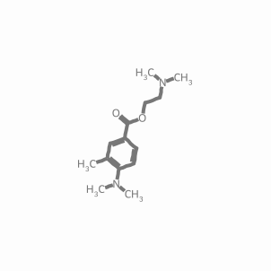 Cc1cc(C(=O)OCCN(C)C)ccc1N(C)C